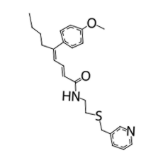 CCCCC(=CC=CC(=O)NCCSCc1cccnc1)c1ccc(OC)cc1